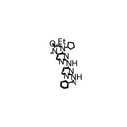 CC[C@@H]1C(=O)N(C)c2cnc(Nc3ccnc(N[C@@H](C)c4ccccc4)n3)nc2N1C1CCCC1